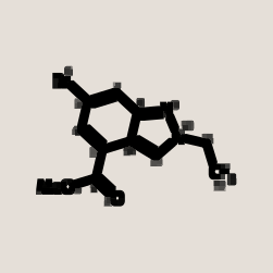 COC(=O)c1cc(Br)cc2nn(CC(F)(F)F)cc12